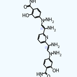 N/C(=C\N(N)c1ccc(C(=O)NO)c(O)c1)c1cccc(/C(N)=C/N(N)c2ccc(C(=O)NO)c(O)c2)n1